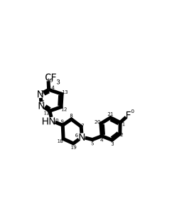 Fc1ccc(CN2CCC(Nc3ccc(C(F)(F)F)nn3)CC2)cc1